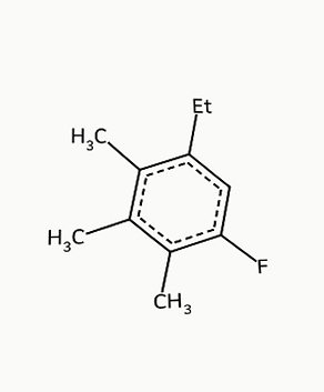 CCc1cc(F)c(C)c(C)c1C